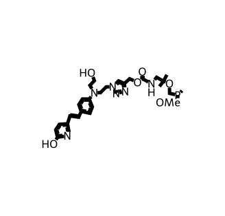 COP(C)COC(C)(C)CNC(=O)OCc1cn(CCN(CCO)c2ccc(/C=C/c3ccc(O)nc3)cc2)nn1